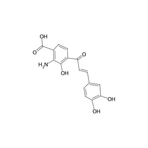 Nc1c(C(=O)O)ccc(C(=O)C=Cc2ccc(O)c(O)c2)c1O